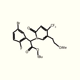 COCCc1cn(C(C(=O)OC(C)(C)C)c2cc(Br)ccc2F)c(=O)cc1C(F)(F)F